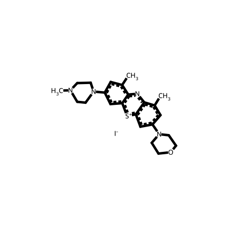 Cc1cc(N2CCOCC2)cc2[s+]c3cc(N4CCN(C)CC4)cc(C)c3nc12.[I-]